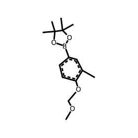 COCOc1ccc(B2OC(C)(C)C(C)(C)O2)cc1C